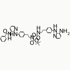 CC(C)(C)OC(=O)N(CCc1ccc(Nc2ncccc2NC(=O)c2ccccc2)cc1)OC(=O)NCCc1ccc(Nc2ncccc2N)cc1